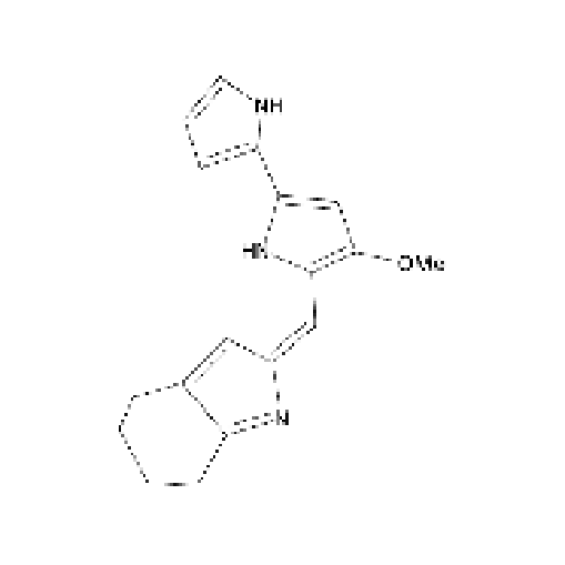 COc1cc(-c2ccc[nH]2)[nH]c1/C=C1\C=C2CCCCC2=N1